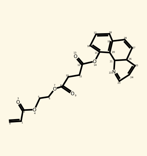 C=CC(=O)OCCOC(=O)CCC(=O)Oc1cccc2c1C1N=CC=CC1C=C2